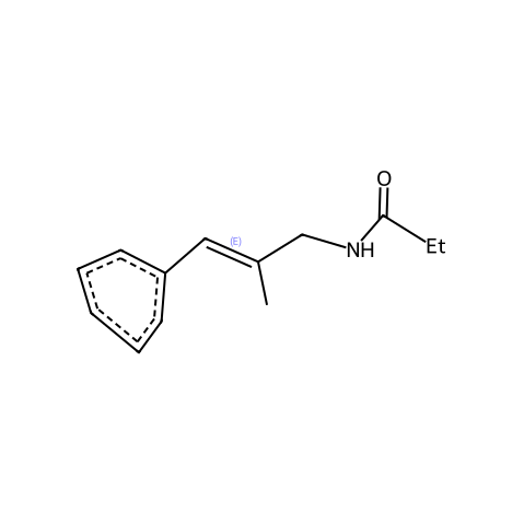 CCC(=O)NC/C(C)=C/c1ccccc1